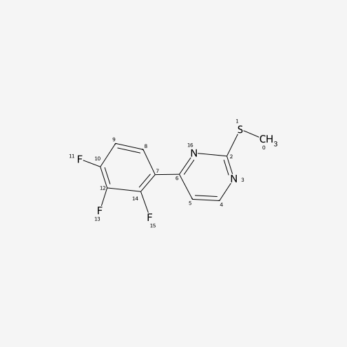 CSc1nccc(-c2ccc(F)c(F)c2F)n1